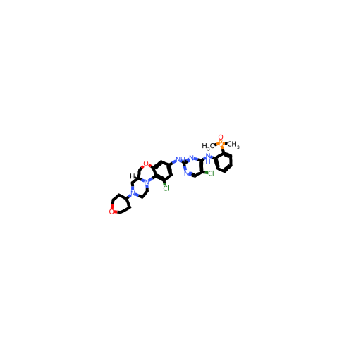 CP(C)(=O)c1ccccc1Nc1nc(Nc2cc(Cl)c3c(c2)OC[C@@H]2CN(C4CCOCC4)CCN32)ncc1Cl